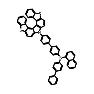 c1ccc(-c2ccc(N(c3ccc(-c4ccc(-n5c6ccc7sc8ccccc8c7c6c6c7c(ccc65)sc5ccccc57)cc4)cc3)c3cccc4ccccc34)cc2)cc1